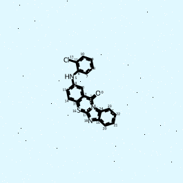 O=c1c2cc(Nc3ccccc3Cl)ccc2sc2nc3ccccc3n12